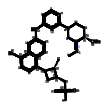 C/N=C1\CN(c2nccc(Nc3cc4c(C(C)C)ccc(N5C[C@H](CS(C)(=O)=O)[C@H]5C)c4cn3)n2)CC[C@@H]1OC